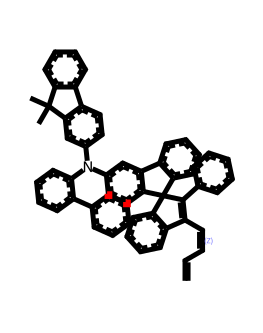 C=C/C=C\C1=C(c2ccccc2)C2(c3ccccc31)c1ccccc1-c1cc(N(c3ccc4c(c3)C(C)(C)c3ccccc3-4)c3ccccc3-c3ccccc3)ccc12